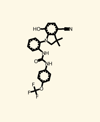 CC1(C)CN(c2ccccc2NC(=O)Nc2ccc(OC(F)(F)F)cc2)c2c(O)ccc(C#N)c21